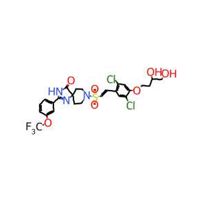 O=C1NC(c2cccc(OC(F)(F)F)c2)=NC12CCN(S(=O)(=O)C=Cc1cc(Cl)c(OCCC(O)CO)cc1Cl)CC2